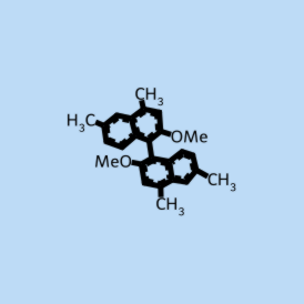 COc1cc(C)c2cc(C)ccc2c1-c1c(OC)cc(C)c2cc(C)ccc12